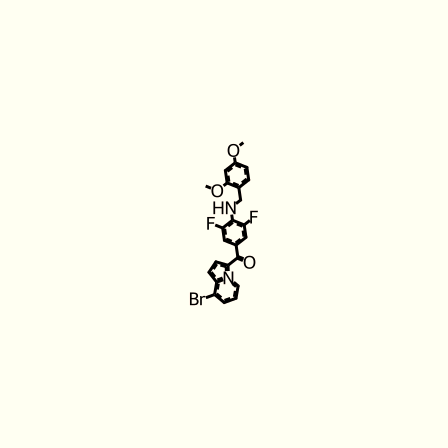 COc1ccc(CNc2c(F)cc(C(=O)c3ccc4c(Br)cccn34)cc2F)c(OC)c1